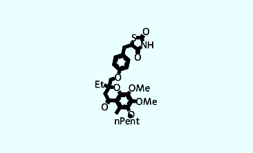 CCCCCOc1c(C)c2c(c(OC)c1OC)OC(CC)(COc1ccc(CC3SC(=O)NC3=O)cc1)CC2=O